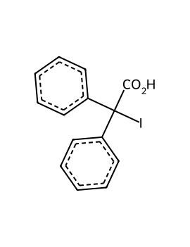 O=C(O)C(I)(c1ccccc1)c1ccccc1